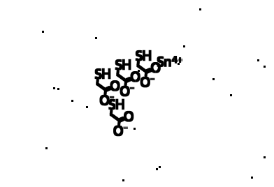 O=C([O-])CS.O=C([O-])CS.O=C([O-])CS.O=C([O-])CS.[Sn+4]